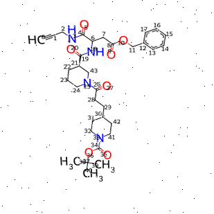 C#CCNC(=O)C(CC(=O)OCc1ccccc1)NC(=O)[C@@H]1CCCN(C(=O)CCC2CCN(C(=O)OC(C)(C)C)CC2)C1